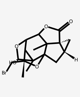 CC12C3C(O[C@@H]1O)C1OC(=O)[C@@]45C[C@@H]4CC2(O[C@]3(C)CBr)C15C